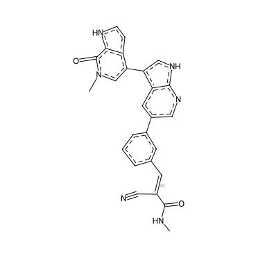 CNC(=O)/C(C#N)=C/c1cccc(-c2cnc3[nH]cc(-c4cn(C)c(=O)c5[nH]ccc45)c3c2)c1